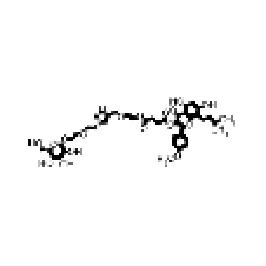 COc1ccc(-c2oc3c(CC=C(C)C)c(O)cc(O)c3c(=O)c2OC(=O)CCC(=O)OCCOCc2cn(CCOCCO[C@@H]3O[C@H](CO)[C@@H](O)[C@H](O)[C@H]3O)nn2)cc1